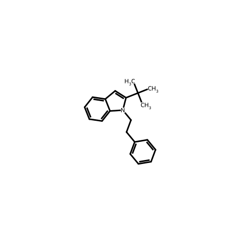 CC(C)(C)c1cc2ccccc2n1CCc1ccccc1